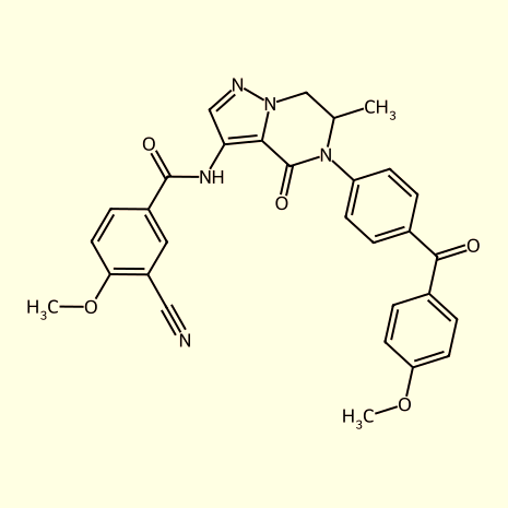 COc1ccc(C(=O)c2ccc(N3C(=O)c4c(NC(=O)c5ccc(OC)c(C#N)c5)cnn4CC3C)cc2)cc1